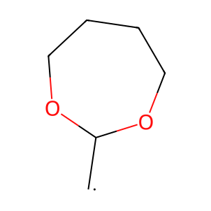 [CH2]C1OCCCCO1